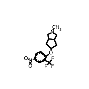 CN1CC2CC(Oc3ccc([N+](=O)[O-])cc3C(F)(F)F)CC2C1